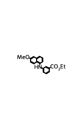 CCOC(=O)c1cccc(Nc2cccc3cc(OC)ccc23)c1